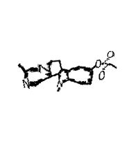 Cc1ncc2n1CCc1c-2n(C)c2ccc(OS(C)(=O)=O)cc12